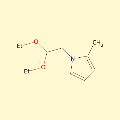 CCOC(Cn1cccc1C)OCC